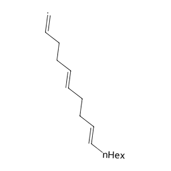 [CH]=CCCC=CCCC=CCCCCCC